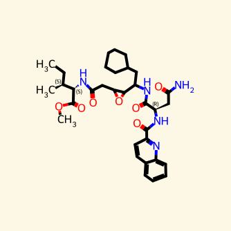 CC[C@H](C)[C@H](NC(=O)CC1OC1C(CC1CCCCC1)NC(=O)[C@@H](CC(N)=O)NC(=O)c1ccc2ccccc2n1)C(=O)OC